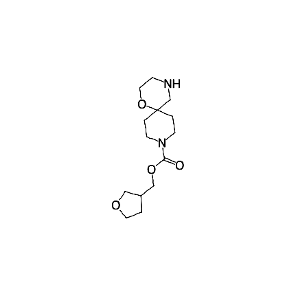 O=C(OCC1CCOC1)N1CCC2(CC1)CNCCO2